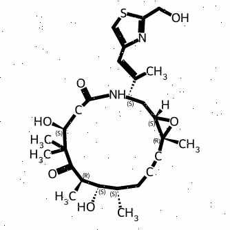 CC(=Cc1csc(CO)n1)[C@@H]1C[C@@H]2O[C@]2(C)CCC[C@H](C)[C@H](O)[C@@H](C)C(=O)C(C)(C)[C@@H](O)CC(=O)N1